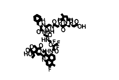 CC[C@@]1(O)C(=O)OCc2c1cc1n(c2=O)Cc2c-1nc1cc(F)c(C)c3c1c2[C@@H](NC(=O)[C@H](OCNC(=O)CNC(=O)[C@H](Cc1ccccc1)NC(=O)CNC(=O)CNC(=O)[C@H](CNCC(=O)O)N1C(=O)CC(C)C1=O)C(F)(F)F)CC3